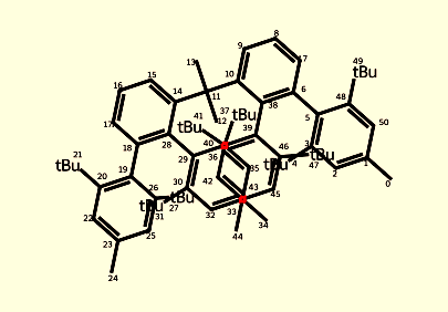 Cc1cc(C(C)(C)C)c(-c2[c]ccc(C(C)(C)c3cc[c]c(-c4c(C(C)(C)C)cc(C)cc4C(C)(C)C)c3-c3c(C(C)(C)C)cc(C)cc3C(C)(C)C)c2-c2c(C(C)(C)C)cc(C)cc2C(C)(C)C)c(C(C)(C)C)c1